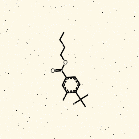 CCCCOC(=O)c1ccc(C(C)(C)C)c(C)c1